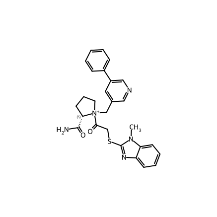 Cn1c(SCC(=O)[N+]2(Cc3cncc(-c4ccccc4)c3)CCC[C@H]2C(N)=O)nc2ccccc21